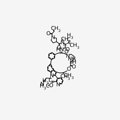 C=CC(=O)N1CCC(C(=O)N(C)[C@H](C(=O)N[C@H]2Cc3cccc(c3)-c3ccc4c(c3)c(c(-c3cccnc3[C@H](C)OC)n4CCC#N)CC(C)(C)COC(=O)[C@@H]3CCCN(N3)C2=O)C(C)C)C1